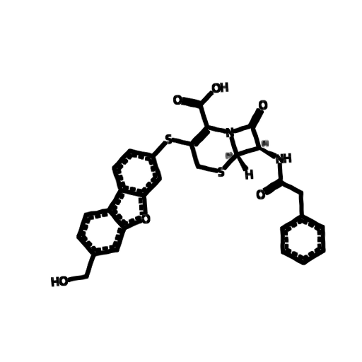 O=C(Cc1ccccc1)N[C@@H]1C(=O)N2C(C(=O)O)=C(Sc3ccc4c(c3)oc3cc(CO)ccc34)CS[C@@H]12